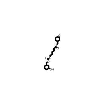 O=C(CCCCCOC(=O)OCC1CCCC(O)C1)OCC1CCC2OC2C1